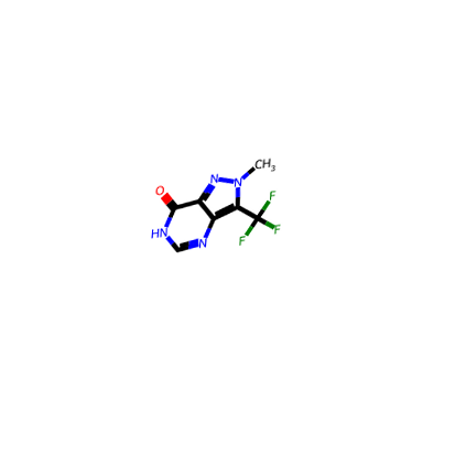 Cn1nc2c(=O)[nH]cnc2c1C(F)(F)F